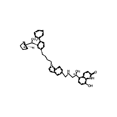 O=C(O)N(c1cc(CCCCn2ccc3cc(CNC[C@@H](O)c4ccc(O)c5[nH]c(=O)ccc45)ccc32)ccc1-c1ccccc1)[C@H]1CN2CCC1CC2